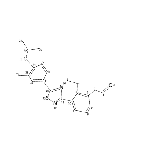 CCc1c(CC=O)cccc1-c1nsc(-c2ccc(OC(C)C)c(C)c2)n1